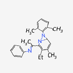 CCC1=C(C(C)=Nc2ccccc2)N2C(C=C1C)N2c1c(C)cccc1C